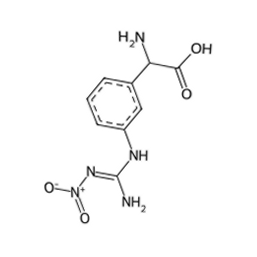 NC(=N[N+](=O)[O-])Nc1cccc(C(N)C(=O)O)c1